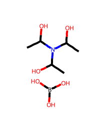 CC(O)N(C(C)O)C(C)O.OB(O)O